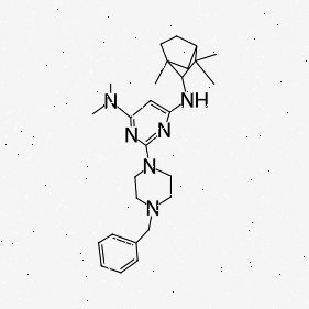 CN(C)c1cc(NC2C3(C)CCC(C3)C2(C)C)nc(N2CCN(Cc3ccccc3)CC2)n1